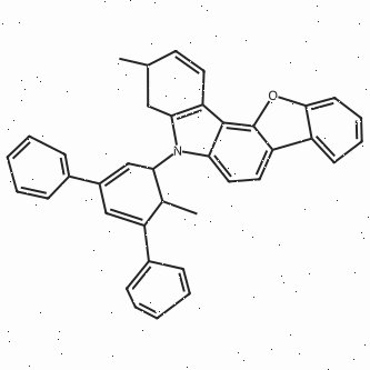 CC1C=Cc2c(n(C3C=C(c4ccccc4)C=C(c4ccccc4)C3C)c3ccc4c5ccccc5oc4c23)C1